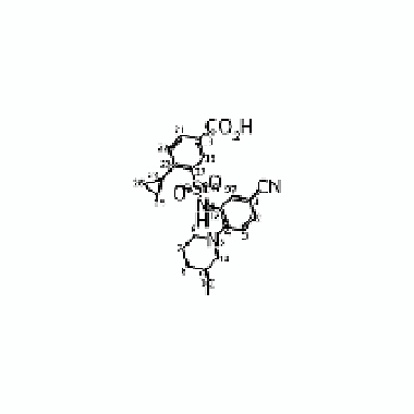 N#Cc1ccc(N2CCCC(F)C2)c(NS(=O)(=O)c2cc(C(=O)O)ccc2C2CC2)c1